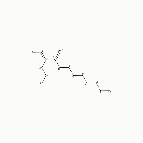 C/C=C(\CCC)C(=O)CCCCCCCC